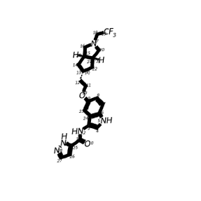 O=C(Nc1c[nH]c2ccc(OCC[C@@H]3C[C@@H]4CN(CC(F)(F)F)C[C@@H]4C3)cc12)c1ccn[nH]1